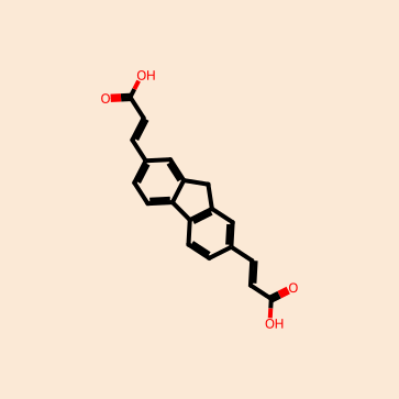 O=C(O)C=Cc1ccc2c(c1)Cc1cc(C=CC(=O)O)ccc1-2